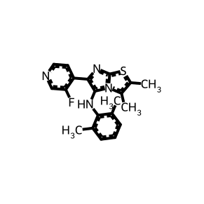 Cc1cccc(C)c1Nc1c(-c2ccncc2F)nc2sc(C)c(C)n12